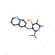 Cc1nc(C(C)C)c(Cc2ccc3ncccc3c2)c(O)c1C